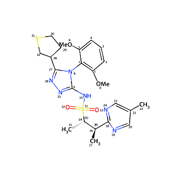 COc1cccc(OC)c1-n1c(NS(=O)(=O)[C@@H](C)[C@H](C)c2ncc(C)cn2)nnc1C1CCSC1